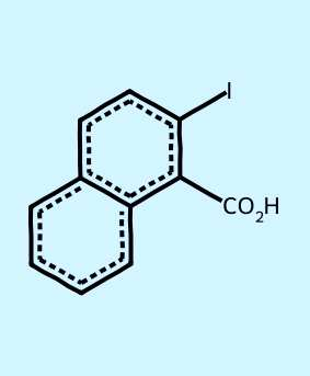 O=C(O)c1c(I)ccc2ccccc12